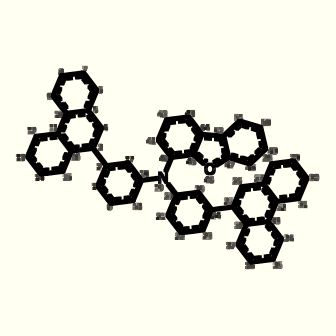 c1cc(-c2cc3ccccc3c3ccccc23)cc(N(c2cccc(-c3cc4ccccc4c4ccccc34)c2)c2cccc3c2oc2ccccc23)c1